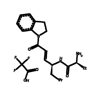 CC[C@H](N)C(=O)N[C@H](C=CC(=O)N1CCc2ccccc21)CC(C)C.O=C(O)C(F)(F)F